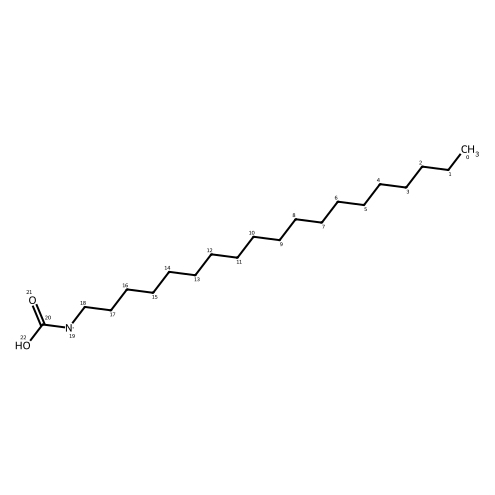 CCCCCCCCCCCCCCCCCCC[N]C(=O)O